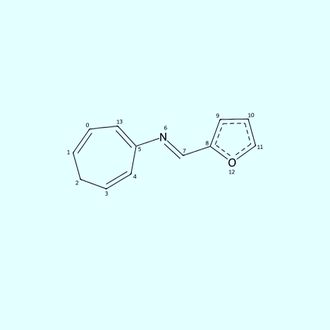 C1=CCC=CC(/N=C/c2ccco2)=C1